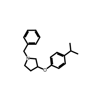 CC(C)c1ccc(OC2CCN(Cc3ccccc3)C2)cc1